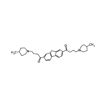 CC1CCN(CCCC(=O)c2ccc3c(c2)Cc2cc(C(=O)CCCN4CCC(C)CC4)ccc2-3)CC1